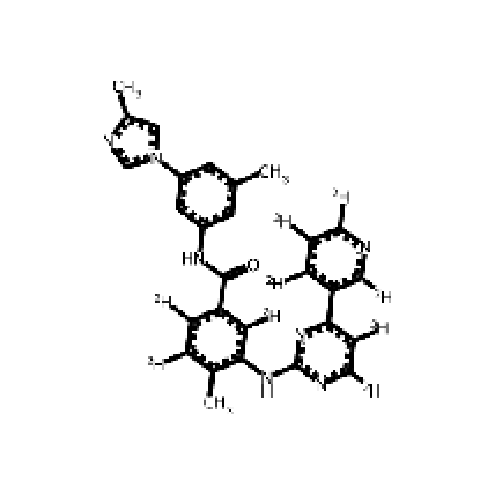 [2H]c1nc(Nc2c([2H])c(C(=O)Nc3cc(C)cc(-n4cnc(C)c4)c3)c([2H])c([2H])c2C)nc(-c2c([2H])nc([2H])c([2H])c2[2H])c1[2H]